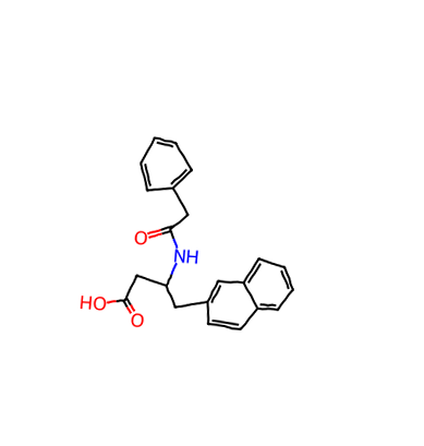 O=C(O)CC(Cc1ccc2ccccc2c1)NC(=O)Cc1ccccc1